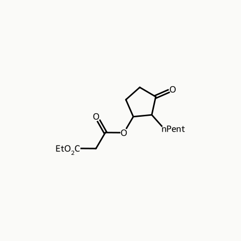 CCCCCC1C(=O)CCC1OC(=O)CC(=O)OCC